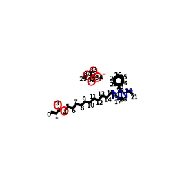 C=CC(=O)OCCCCCCCCCCCn1cc[n+](CC)c1-c1ccccc1.COS(=O)(=O)[O-]